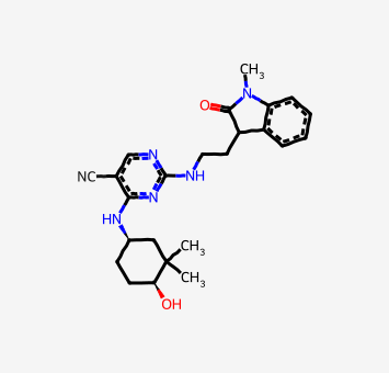 CN1C(=O)C(CCNc2ncc(C#N)c(N[C@@H]3CC[C@H](O)C(C)(C)C3)n2)c2ccccc21